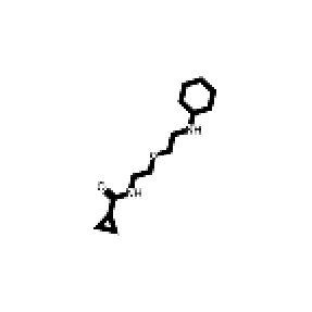 O=C(NCCOCCNC1CCCCC1)C1CC1